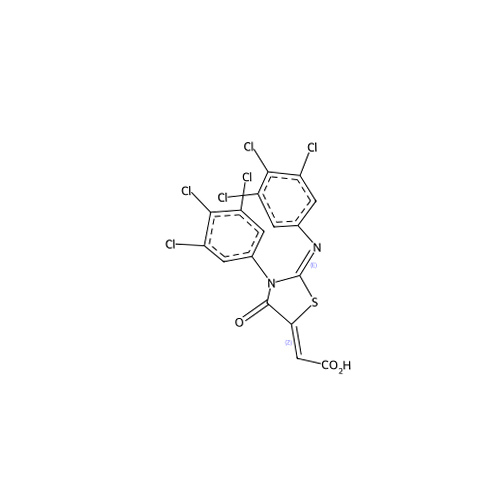 O=C(O)/C=C1\S/C(=N/c2cc(Cl)c(Cl)c(Cl)c2)N(c2cc(Cl)c(Cl)c(Cl)c2)C1=O